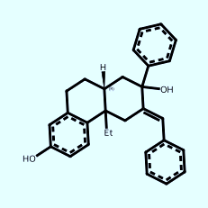 CCC12CC(=Cc3ccccc3)C(O)(c3ccccc3)C[C@H]1CCc1cc(O)ccc12